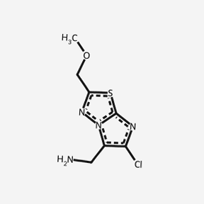 COCc1nn2c(CN)c(Cl)nc2s1